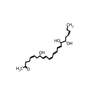 CC/C=C\C[C@H](O)C(O)/C=C/C=C/C=C\C=C\[C@@H](O)C/C=C\CCC(C)=O